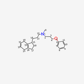 CN(CCCOc1ccccc1)CCCC1CCC2=C1CC=CC2